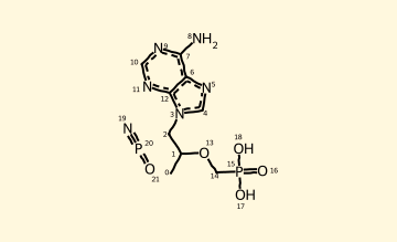 CC(Cn1cnc2c(N)ncnc21)OCP(=O)(O)O.N#P=O